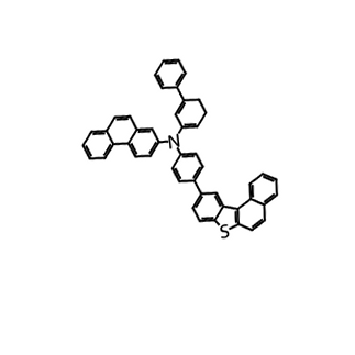 C1=C(c2ccccc2)CCC=C1N(c1ccc(-c2ccc3sc4ccc5ccccc5c4c3c2)cc1)c1ccc2c(ccc3ccccc32)c1